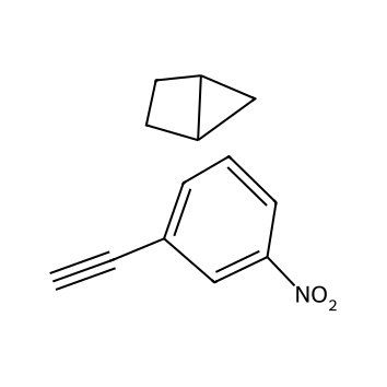 C#Cc1cccc([N+](=O)[O-])c1.C1CC2CC12